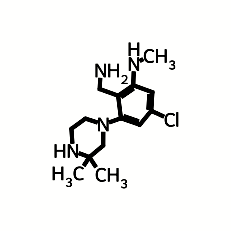 CNc1cc(Cl)cc(N2CCNC(C)(C)C2)c1CN